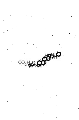 CC(C)(CC(=O)O)CC(=O)O[C@H]1CC[C@@]2(C)C(CC[C@]3(C)C2CC[C@@H]2[C@H]4CCC[C@]4(CC(=O)NC4CCCCC4)CC[C@]23C)C1(C)C